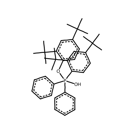 CC(C)(C)c1ccc(OP(O)(c2ccccc2)(c2ccccc2)c2ccc(C(C)(C)C)cc2C(C)(C)C)c(C(C)(C)C)c1